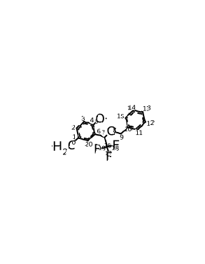 [CH2]c1ccc([O])c(C(OCc2ccccc2)C(F)(F)F)c1